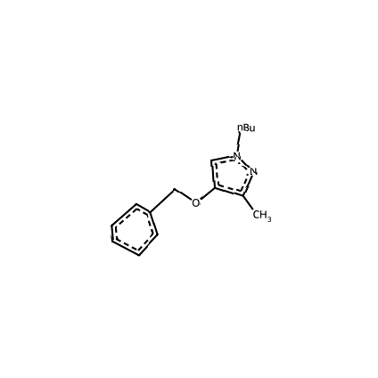 CCCCn1cc(OCc2ccccc2)c(C)n1